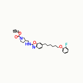 CC(C)(C)OC(=O)N1CC[C@H](CNc2nc3ccc(CCCCCCOc4ccccc4F)cc3o2)C1